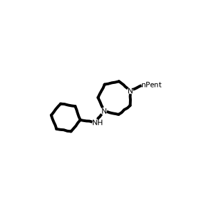 CCCCCN1CCCN(NC2CCCCC2)CC1